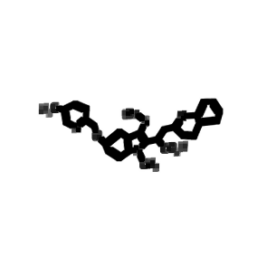 Cc1ccc(COc2ccc3c(c2)c(SC(C)(C)C)c(C(Cc2ccc4ccccc4n2)C(=O)O)n3C)nc1